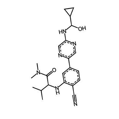 CC(C)C(Nc1cc(-c2cnc(NC(O)C3CC3)cn2)ccc1C#N)C(=O)N(C)C